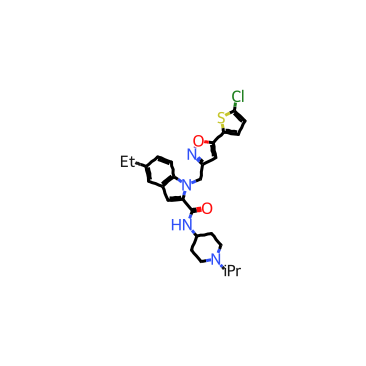 CCc1ccc2c(c1)cc(C(=O)NC1CCN(C(C)C)CC1)n2Cc1cc(-c2ccc(Cl)s2)on1